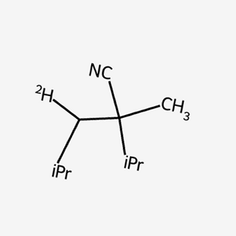 [2H]C(C(C)C)C(C)(C#N)C(C)C